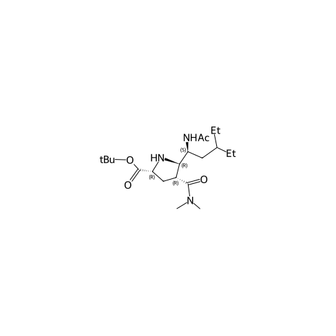 CCC(CC)C[C@H](NC(C)=O)[C@@H]1N[C@@H](C(=O)OC(C)(C)C)C[C@H]1C(=O)N(C)C